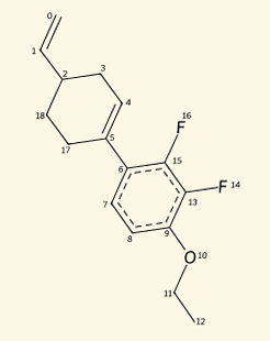 C=CC1CC=C(c2ccc(OCC)c(F)c2F)CC1